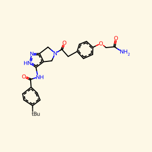 CC(C)(C)c1ccc(C(=O)Nc2[nH]nc3c2CN(C(=O)Cc2ccc(OCC(N)=O)cc2)C3)cc1